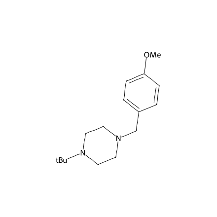 COc1ccc(CN2CCN(C(C)(C)C)CC2)cc1